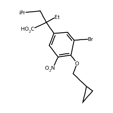 CCC(CC(C)C)(C(=O)O)c1cc(Br)c(OCC2CC2)c([N+](=O)[O-])c1